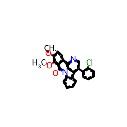 COc1ccc2c(c1OC)c(=O)n1c3ccccc3c3c(-c4ccccc4Cl)cnc2c31